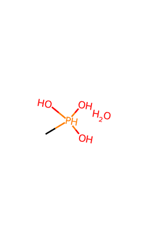 C[PH](O)(O)O.O